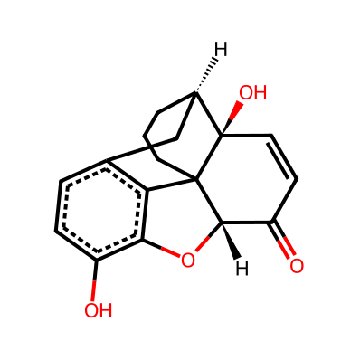 O=C1C=C[C@@]2(O)[C@@H]3CCCC24c2c(ccc(O)c2O[C@@H]14)C3